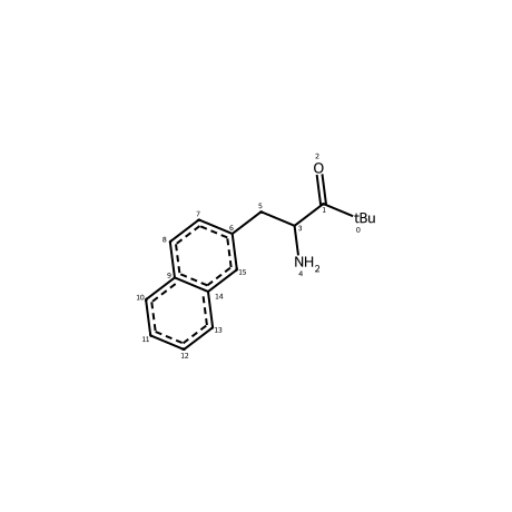 CC(C)(C)C(=O)C(N)Cc1ccc2ccccc2c1